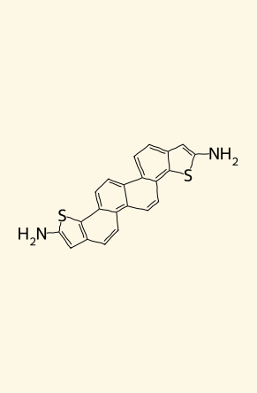 Nc1cc2ccc3c4ccc5c(ccc6cc(N)sc65)c4ccc3c2s1